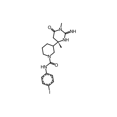 CN1C(=N)N[C@](C)(C2CCCN(C(=O)Nc3ccc(I)cc3)C2)CC1=O